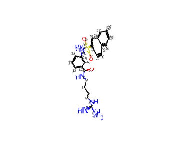 N=C(N)NCCCCNC(=O)c1cccc(NS(=O)(=O)c2ccc3ccccc3c2)c1